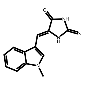 Cn1cc(/C=C2\NC(=S)NC2=O)c2ccccc21